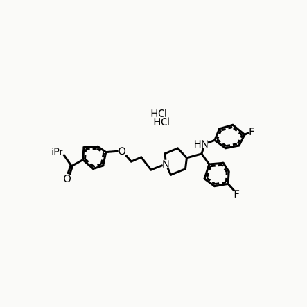 CC(C)C(=O)c1ccc(OCCCN2CCC(C(Nc3ccc(F)cc3)c3ccc(F)cc3)CC2)cc1.Cl.Cl